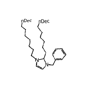 CCCCCCCCCCCCCCCCCN1C=CN(Cc2ccccc2)C1CCCCCCCCCCCCCCCC